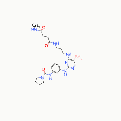 Bc1cnc(Nc2cccc(NC(=O)N3CCCC3)c2)nc1NCCCNC(=O)CCC(=O)NC